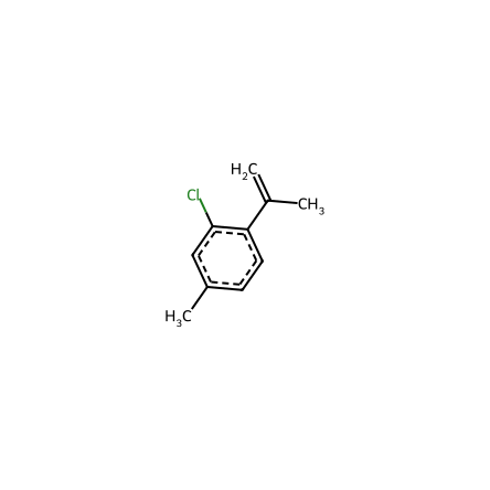 C=C(C)c1ccc(C)cc1Cl